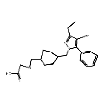 CCc1nn(CC2CCC(COCC(=O)O)CC2)c(-c2ccccc2)c1Br